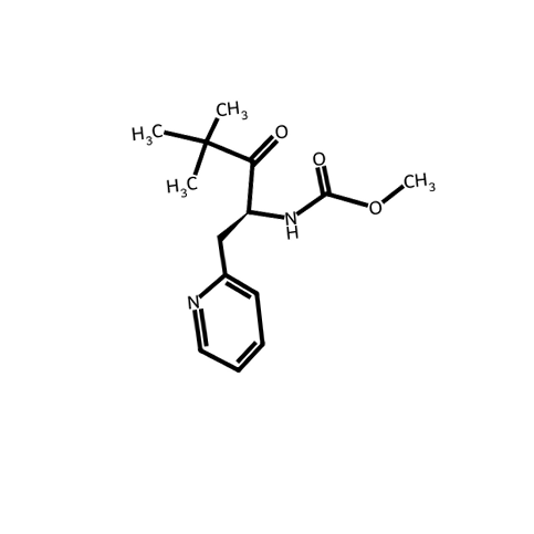 COC(=O)N[C@@H](Cc1ccccn1)C(=O)C(C)(C)C